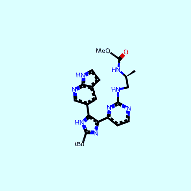 COC(=O)N[C@@H](C)CNc1nccc(-c2nc(C(C)(C)C)[nH]c2-c2cnc3[nH]ccc3c2)n1